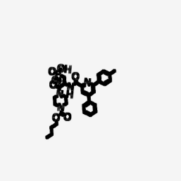 CCCCOC(=O)N1CCN(C(=O)C(CP(=O)(O)O)NC(=O)c2cc(-c3ccccc3)cc(-c3ccc(C)cc3)n2)CC1